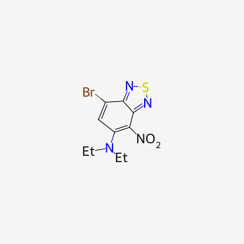 CCN(CC)c1cc(Br)c2nsnc2c1[N+](=O)[O-]